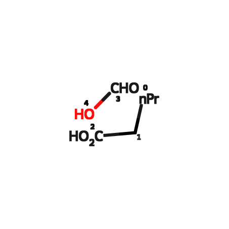 CCCCC(=O)O.O=CO